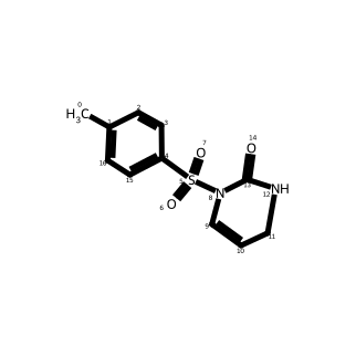 Cc1ccc(S(=O)(=O)N2C=CCNC2=O)cc1